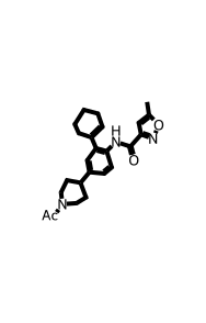 CC(=O)N1CCC(c2ccc(NC(=O)c3cc(C)on3)c(C3=CCCCC3)c2)CC1